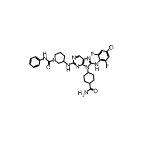 NC(=O)C1CCC(n2c(Nc3c(F)cc(Cl)cc3F)nc3cnc(NC4CCCN(C(=O)Nc5ccccc5)C4)nc32)CC1